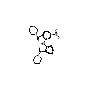 O=C(c1ccccc1Nc1cc([N+](=O)[O-])ccc1C(=O)N1CCCCC1)N1CCCCC1